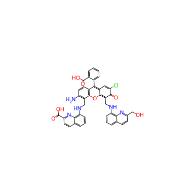 Nc1ccc2c(-c3ccccc3C(=O)O)c3cc(Cl)c(=O)c(CNc4cccc5ccc(CO)nc45)c-3oc2c1CNc1cccc2ccc(C(=O)O)nc12